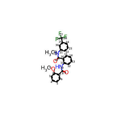 COc1ccccc1C(=O)Nc1ccccc1C(=O)N(C)c1cccc(C(F)(F)F)c1